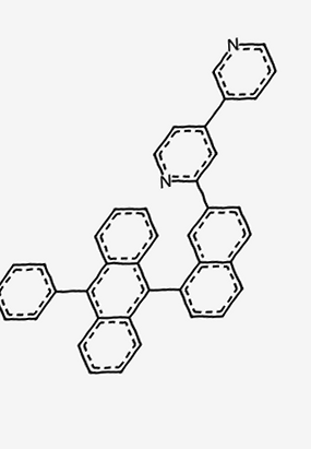 c1ccc(-c2c3ccccc3c(-c3cccc4ccc(-c5cc(-c6cccnc6)ccn5)cc34)c3ccccc23)cc1